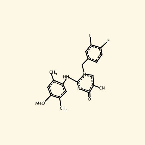 COc1cc(C)c(Nc2nc(=O)c(C#N)cn2Cc2ccc(F)c(F)c2)cc1C